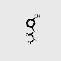 CCNC(=O)Nc1cccc(C#N)c1